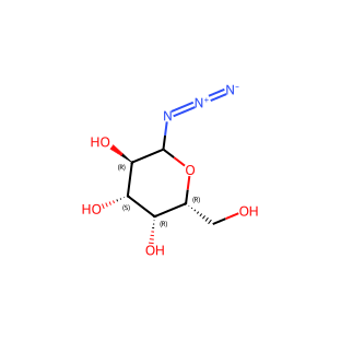 [N-]=[N+]=NC1O[C@H](CO)[C@H](O)[C@H](O)[C@H]1O